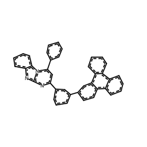 c1ccc(-c2cc(-c3cccc(-c4ccc5c6ccccc6c6ccccc6c5c4)c3)nc3nc4ccccc4n23)cc1